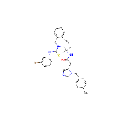 CC(C)(CN(Cc1ccccc1C(F)(F)F)C(=S)Nc1cccc(Br)c1)NC(=O)Cc1cncn1Cc1ccc(C#N)cc1